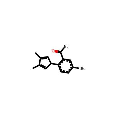 CCC(=O)c1cc(C(C)(C)C)ccc1C1C=C(C)C(C)=C1